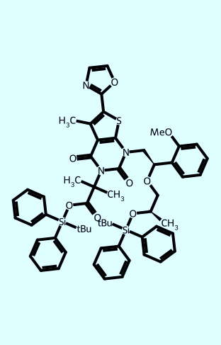 COc1ccccc1[C@H](Cn1c(=O)n(C(C)(C)C(=O)O[Si](c2ccccc2)(c2ccccc2)C(C)(C)C)c(=O)c2c(C)c(-c3ncco3)sc21)OC[C@@H](C)O[Si](c1ccccc1)(c1ccccc1)C(C)(C)C